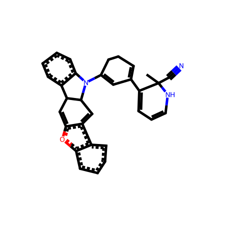 CC1(C#N)NC=CC=C1C1=CCCC(N2c3ccccc3C3C=c4oc5ccccc5c4=CC32)=C1